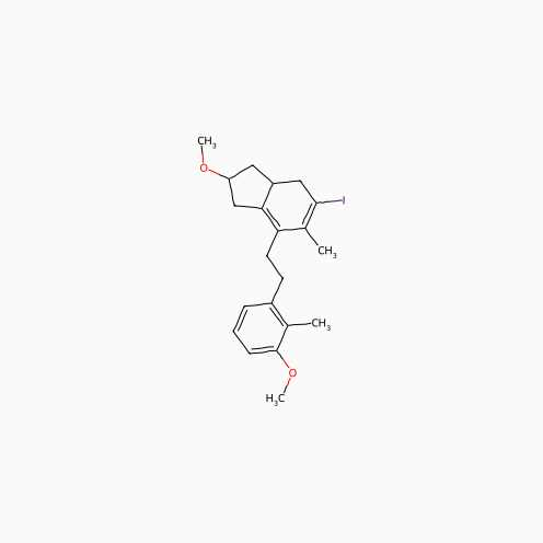 COc1cccc(CCC2=C3CC(OC)CC3CC(I)=C2C)c1C